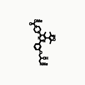 CNCC(O)COc1cccc(-c2nc(-c3c(C)noc3C)c(C)c(N3CCN(C(=O)OC)CC3)n2)c1